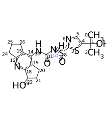 CC(C)(O)c1cnc(/[SH](=O)=N/C(=O)Nc2c3c(nc4c2CCC4O)CCC3)s1